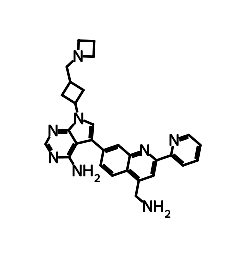 NCc1cc(-c2ccccn2)nc2cc(-c3cn(C4CC(CN5CCC5)C4)c4ncnc(N)c34)ccc12